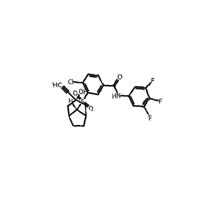 C#C[C@]1(O)CC2CCC(C1)[C@@H]2S(=O)(=O)c1cc(C(=O)Nc2cc(F)c(F)c(F)c2)ccc1Cl